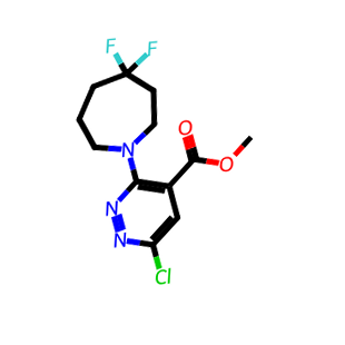 COC(=O)c1cc(Cl)nnc1N1CCCC(F)(F)CC1